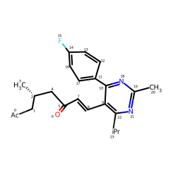 CC(=O)C[C@H](C)CC(=O)/C=C/c1c(-c2ccc(F)cc2)nc(C)nc1C(C)C